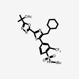 CC(=O)OC(C)(C)c1nnc(-c2nc(CC3CCCCC3)c(-c3ccc(S(=O)(=O)NC(C)(C)C)c(C(F)(F)F)c3)s2)o1